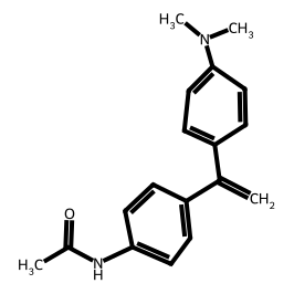 C=C(c1ccc(NC(C)=O)cc1)c1ccc(N(C)C)cc1